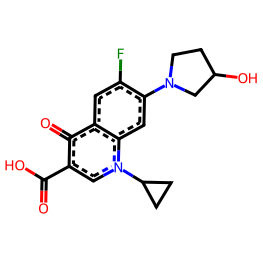 O=C(O)c1cn(C2CC2)c2cc(N3CCC(O)C3)c(F)cc2c1=O